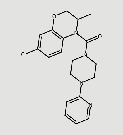 CC1COc2cc(Cl)ccc2N1C(=O)N1CCN(c2ccccn2)CC1